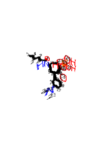 CCCCCC(=O)NC1=Cc2c3c(oc2=CC=C1)=CC=C(N(C)C)C3.O=P(O)(O)O